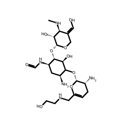 CN[C@H]1/C(=C\O)CO[C@H](O[C@H]2[C@H](NC=O)C[C@H](N)C(O[C@H]3OC(CNCCO)=CC[C@H]3N)[C@@H]2O)[C@@H]1O